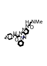 C=C(CN1CCN(C)CC1)Oc1ccccc1/N=N/c1ccc(NC(=O)CNC)nc1N